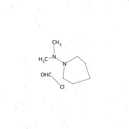 CN(C)N1CCCCC1.O=CCl